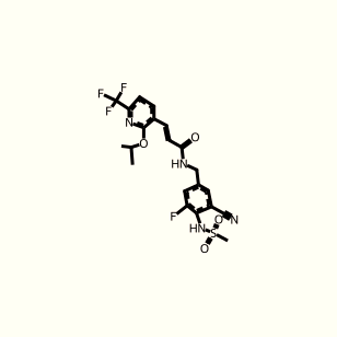 CC(C)Oc1nc(C(F)(F)F)ccc1C=CC(=O)NCc1cc(F)c(NS(C)(=O)=O)c(C#N)c1